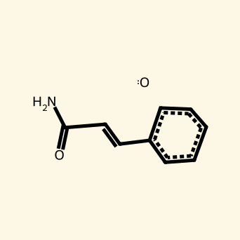 NC(=O)C=Cc1ccccc1.[O]